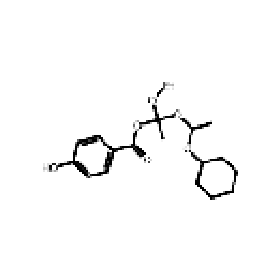 CCOC(C)(OC(=O)c1ccc(O)cc1)OC(C)OC1CCCCC1